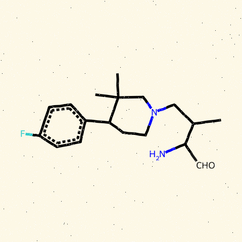 CC(CN1CCC(c2ccc(F)cc2)C(C)(C)C1)C(N)C=O